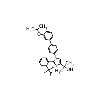 CC(C)Oc1cccc(-c2ccc(-n3cc(C(C)(C)O)nc3-c3ccccc3C(F)(F)F)cc2)c1